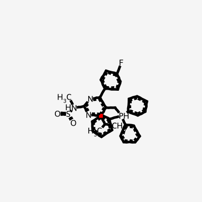 CC(C)c1nc(N(C)[SH](=O)=O)nc(-c2ccc(F)cc2)c1C[PH](c1ccccc1)(c1ccccc1)c1ccccc1